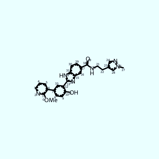 COc1ncccc1-c1ccc(O)c(-c2nc3cc(C(=O)NCCc4cnn(C)c4)ccc3[nH]2)c1